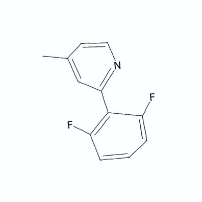 Cc1ccnc(-c2c(F)cccc2F)c1